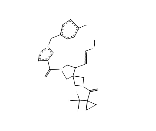 CO/C=C/C1CN(C(=O)c2cnn(Cc3ccc(F)cc3)c2)CC12CN(C(=O)C1(C(F)(F)F)CC1)C2